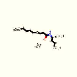 CCCCCCCCCCCCCCCCCC(=O)N[C@@H](CCC(=O)O)C(=O)O.[Na].[Na]